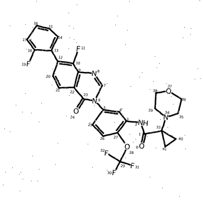 O=C(Nc1cc(-n2cnc3c(F)c(-c4ccccc4F)ccc3c2=O)ccc1OC(F)(F)F)C1(N2CCOCC2)CC1